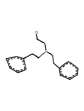 ClCCN(CCc1ccccc1)CCc1ccccc1